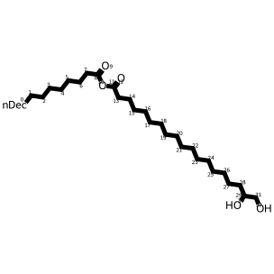 CCCCCCCCCCCCCCCCCC(=O)OC(=O)CCCCCCCCCCCCCCCCC(O)CO